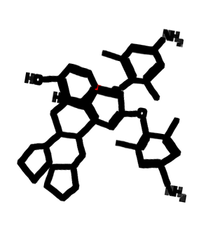 Cc1cc(N)cc(C)c1Oc1ccc(O)c(CC(C2CCCC2)C(CC2CCCC2)c2cc(Oc3c(C)cc(N)cc3C)ccc2O)c1